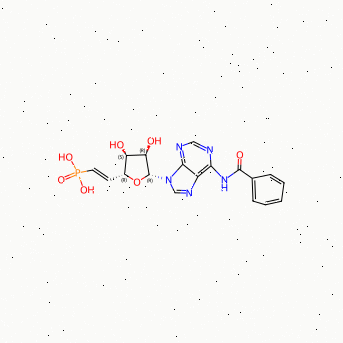 O=C(Nc1ncnc2c1ncn2[C@@H]1O[C@H](C=CP(=O)(O)O)[C@@H](O)[C@H]1O)c1ccccc1